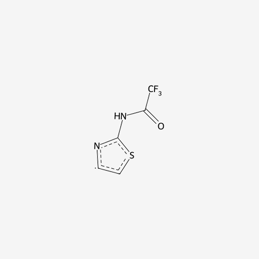 O=C(Nc1n[c]cs1)C(F)(F)F